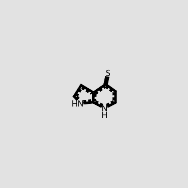 S=c1cc[nH]c2[nH]ccc12